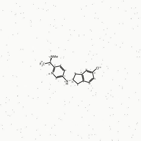 CN[C@@H](c1ccc(N[C@H]2Cc3ccc(Cl)cc3C2)cn1)C(F)(F)F